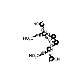 N#Cc1cncc(COc2nc(OCc3cccc(-c4cccc(COc5nc(OCc6cncc(C#N)c6)c(CNCCCC(=O)O)cc5Br)c4Cl)c3Cl)ccc2CNCCCC(=O)O)c1